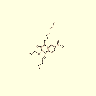 C=CCOc1c(OCCCC)c2ccc([N+](=O)[O-])cc2n(CCCCCCCC)c1=O